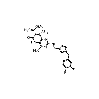 C=C(OC)[C@H]1C(=O)Nc2c(C)nc(NCc3cnn(Cc4ccc(F)c(F)c4)c3)nc2N1C